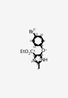 CCOC(=O)c1nc(C)[nH]c1Oc1ccc(Br)cc1